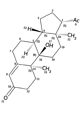 CC(=O)[C@H]1CC[C@H]2[C@@H]3CCC4=CC(=O)CC[C@]4(C)[C@@]3(O)CC[C@]12C